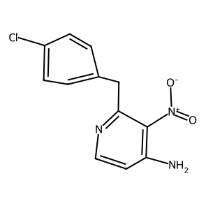 Nc1ccnc(Cc2ccc(Cl)cc2)c1[N+](=O)[O-]